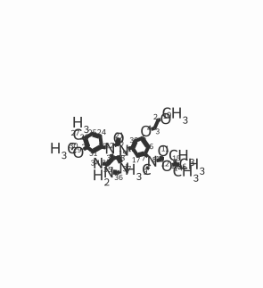 COCCOc1cc(N(C)C(=O)OC(C)(C)C)cc(-n2c(=O)n(-c3ccc(C)c(OC)c3)c3c(N)ncnc32)c1